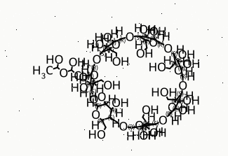 CC(O)OC(C)O.OC[C@H]1O[C@@H]2O[C@H]3[C@H](O)[C@@H](O)[C@@H](O[C@H]4[C@H](O)[C@@H](O)[C@@H](O[C@H]5[C@H](O)[C@@H](O)[C@@H](O[C@H]6[C@H](O)[C@@H](O)[C@@H](O[C@H]7[C@H](O)[C@@H](O)[C@@H](O[C@H]8[C@H](O)[C@@H](O)[C@@H](O[C@H]1[C@H](O)[C@H]2O)O[C@@H]8CO)O[C@@H]7CO)O[C@@H]6CO)O[C@@H]5CO)O[C@@H]4CO)O[C@@H]3CO